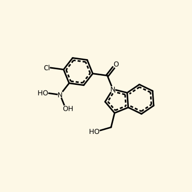 O=C(c1ccc(Cl)c(N(O)O)c1)n1cc(CO)c2ccccc21